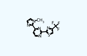 Cn1ccnc1-c1c[c]nc(-c2nc(C(F)(F)F)cs2)n1